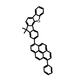 CC1(C)c2cc(-c3ccc4ccc5c(-c6ccccc6)ccc6ccc3c4c65)ccc2-c2c1ccc1c2sc2ccccc21